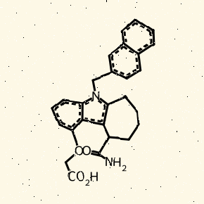 NC(=O)C1CCCCc2c1c1c(OCC(=O)O)cccc1n2Cc1ccc2ccccc2c1